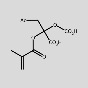 C=C(C)C(=O)OC(CC(C)=O)(OC(=O)O)C(=O)O